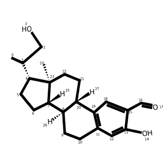 CC(CO)[C@H]1CC[C@H]2[C@@H]3CCc4cc(O)c(C=O)cc4[C@H]3CC[C@]12C